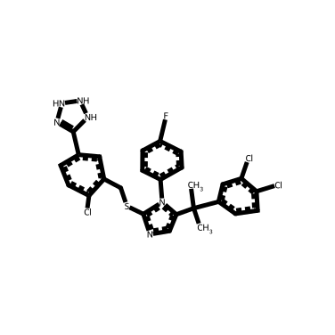 CC(C)(c1ccc(Cl)c(Cl)c1)c1cnc(SCc2cc(C3=NNNN3)ccc2Cl)n1-c1ccc(F)cc1